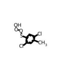 Cc1cc(Cl)c(SOOO)cc1Cl